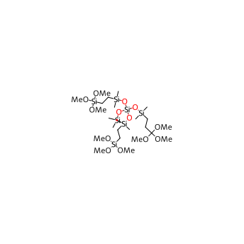 COC(CC[Si](C)(C)O[Si](O[Si](C)(C)C)(O[Si](C)(C)CC[Si](OC)(OC)OC)O[Si](C)(C)CC[Si](OC)(OC)OC)(OC)OC